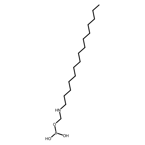 CCCCCCCCCCCCCCCNCOB(O)O